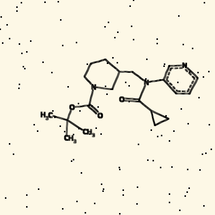 CC(C)(C)OC(=O)N1CCCC(CN(C(=O)C2CC2)c2cccnc2)C1